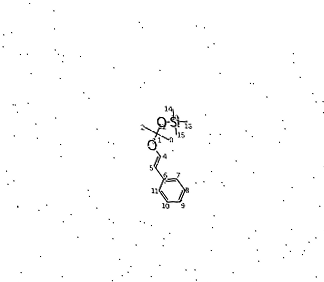 CC(C)(OC=Cc1ccccc1)O[Si](C)(C)C